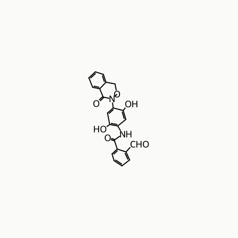 O=Cc1ccccc1C(=O)Nc1cc(O)c(N2OCc3ccccc3C2=O)cc1O